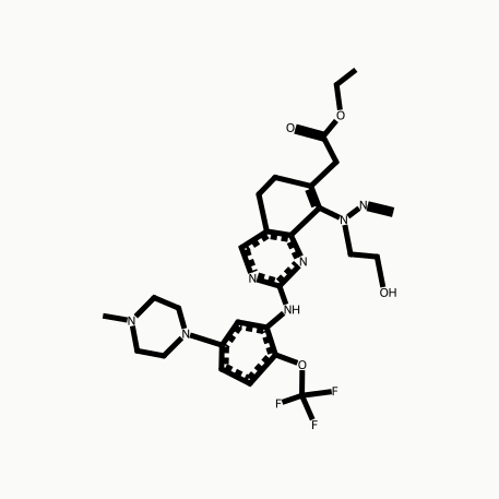 C=NN(CCO)C1=C(CC(=O)OCC)CCc2cnc(Nc3cc(N4CCN(C)CC4)ccc3OC(F)(F)F)nc21